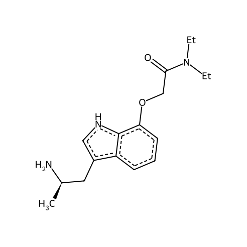 CCN(CC)C(=O)COc1cccc2c(C[C@@H](C)N)c[nH]c12